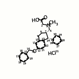 CN(CC(=O)O)C[C@H]1CCc2cc(OCc3ccccc3)ccc2[C@H]1c1ccccc1.Cl